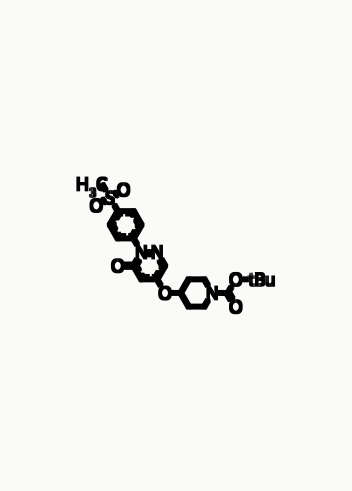 CC(C)(C)OC(=O)N1CCC(Oc2cnn(-c3ccc(S(C)(=O)=O)cc3)c(=O)c2)CC1